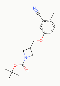 Cc1ccc(OCC2CN(C(=O)OC(C)(C)C)C2)cc1C#N